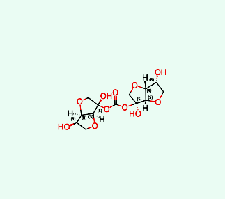 O=C(O[C@@]1(O)CO[C@@H]2[C@H](O)CO[C@@H]21)O[C@@]1(O)CO[C@@H]2[C@H](O)CO[C@@H]21